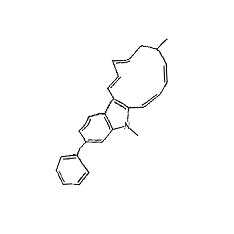 CC1/C=C\C=C/c2c(c3ccc(-c4ccccc4)cc3n2C)/C=C/C=C/C1